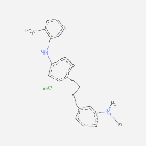 CCN(CC)c1cccc(CCc2ccc(Nc3ccccc3C(=O)O)cc2)c1.Cl